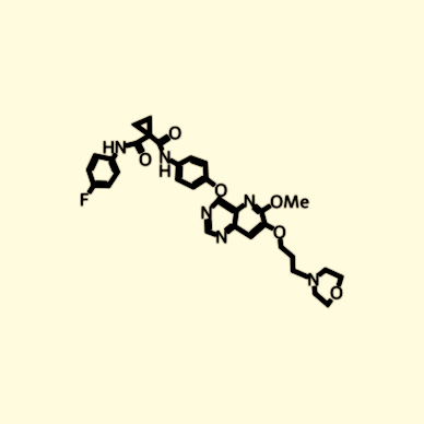 COc1nc2c(Oc3ccc(NC(=O)C4(C(=O)Nc5ccc(F)cc5)CC4)cc3)ncnc2cc1OCCCN1CCOCC1